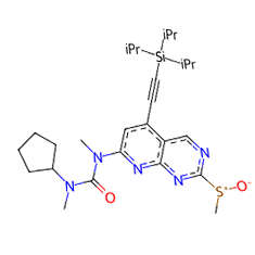 CC(C)[Si](C#Cc1cc(N(C)C(=O)N(C)C2CCCC2)nc2nc([S+](C)[O-])ncc12)(C(C)C)C(C)C